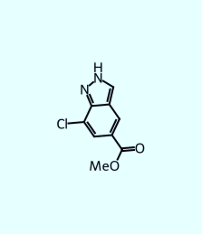 COC(=O)c1cc(Cl)c2n[nH]cc2c1